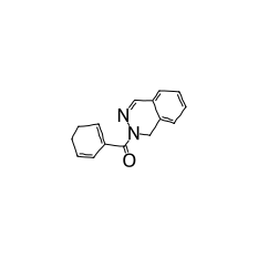 O=C(C1=CCCC=C1)N1Cc2ccccc2C=N1